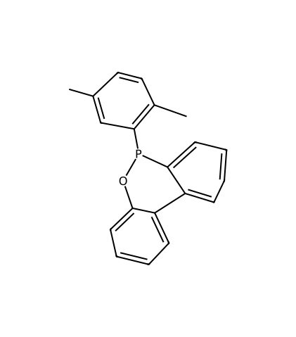 Cc1ccc(C)c(P2Oc3ccccc3-c3ccccc32)c1